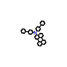 c1ccc(-c2ccc(N(c3ccc(-c4ccccc4)cc3)c3ccc4c5cccc6cccc(c7cccc3c74)c65)cc2)cc1